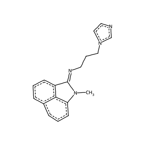 CN1C(=NCCCn2ccnc2)c2cccc3cccc1c23